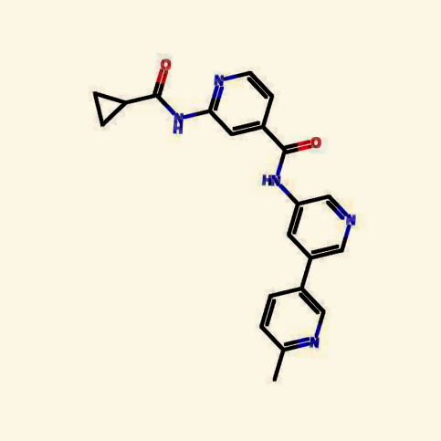 Cc1ccc(-c2cncc(NC(=O)c3ccnc(NC(=O)C4CC4)c3)c2)cn1